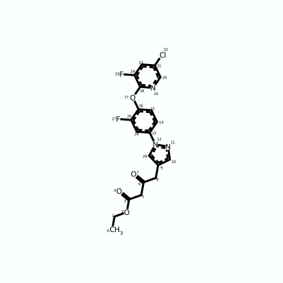 CCOC(=O)CC(=O)Cc1cnn(-c2ccc(Oc3ncc(Cl)cc3F)c(F)c2)c1